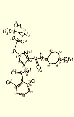 CC(C)(C)OC(=O)On1cc(NC(=O)c2c(Cl)cccc2Cl)c(C(=O)NC2CCNCC2)n1.Cl